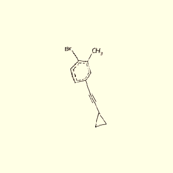 Cc1cc(C#CC2CC2)ccc1Br